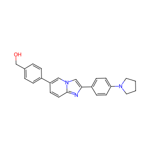 OCc1ccc(-c2ccc3nc(-c4ccc(N5CCCC5)cc4)cn3c2)cc1